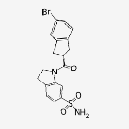 NS(=O)(=O)c1ccc2c(c1)N(C(=O)[C@@H]1Cc3ccc(Br)cc3C1)CC2